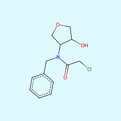 O=C(CCl)N(Cc1ccccc1)C1COCC1O